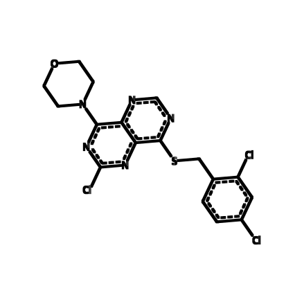 Clc1ccc(CSc2ncnc3c(N4CCOCC4)nc(Cl)nc23)c(Cl)c1